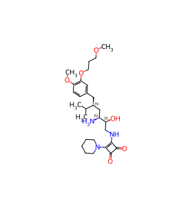 COCCCOc1cc(C[C@@H](C[C@H](N)[C@@H](O)CNc2c(N3CCCCC3)c(=O)c2=O)C(C)C)ccc1OC